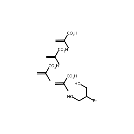 C=C(C)C(=O)O.C=C(C)C(=O)O.C=C(C)C(=O)O.C=C(C)C(=O)O.CCC(CO)CO